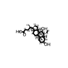 CC[C@H]1[C@@H](O)[C@@H]2[C@H](CC[C@]3(C)[C@@H]([C@H](C)CCC(=O)O)CC[C@@H]23)[C@@]2(C)CC[C@H](O)C[C@@H]12